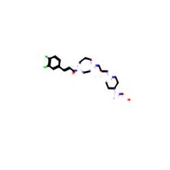 COC(=O)N(C)C1CCN(CC(O)CN2CCN(C(=O)/C=C/c3ccc(Cl)c(Cl)c3)CCC2=O)CC1